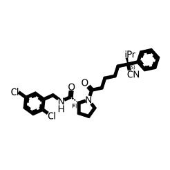 CC(C)[C@@](C#N)(CCCCC(=O)N1CCC[C@@H]1C(=O)NCc1cc(Cl)ccc1Cl)c1ccccc1